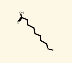 [O]OCCCCCCCC(=O)O